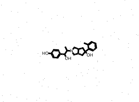 Cc1ccccc1C1(O)CC2CN(C(C)C(O)c3ccc(O)cc3)CC2C1